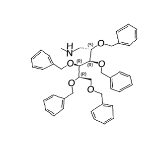 CNC[C@H](OCc1ccccc1)[C@@H](OCc1ccccc1)[C@H](OCc1ccccc1)[C@@H](COCc1ccccc1)OCc1ccccc1